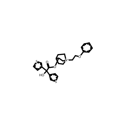 O=C(OC1C[N+]2(CCOc3ccccc3)CCC1CC2)C(O)(c1ccsc1)c1ccsc1